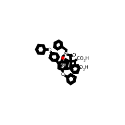 O=C(O)C1CC(C(=O)N(Cc2ccccc2)Cc2ccc(Oc3ccccc3)cc2)(C(=O)N(Cc2ccccc2)Cc2ccc(Oc3ccccc3)cc2)C1C(=O)O